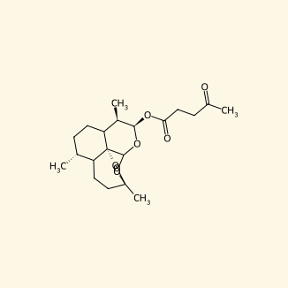 CC(=O)CCC(=O)O[C@H]1OC2OC3(C)CCC4[C@H](C)CCC([C@H]1C)[C@@]24OO3